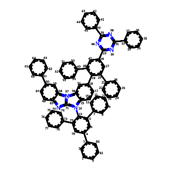 c1ccc(-c2cc(-c3ccccc3)c(-n3c4ccc(-c5c(-c6ccccc6)cc(-c6nc(-c7ccccc7)nc(-c7ccccc7)n6)cc5-c5ccccc5)cc4n4c5cc(-c6ccccc6)ccc5nc34)c(-c3ccccc3)c2)cc1